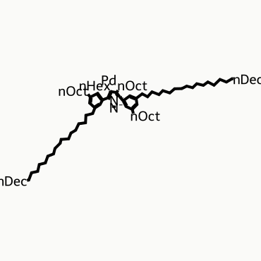 CCCCCCCCCCCCCCCCCCCCCCCCCCCc1cc(CCCCCCCC)cc(C2=C(CCCCCC)C(CCCCCCCC)=C(c3cc(CCCCCCCC)cc(CCCCCCCCCCCCCCCCCCCCCCCCCCC)c3)[N+]2=[N-])c1.[Pd]